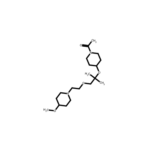 COC1CCN(CCOCC(C)(C)OC2CCN(C(C)=O)CC2)CC1